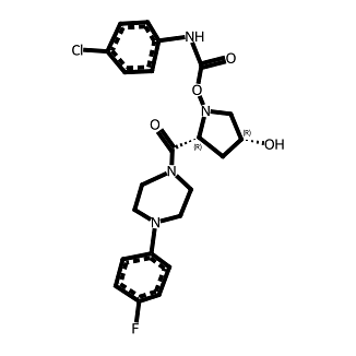 O=C(Nc1ccc(Cl)cc1)ON1C[C@H](O)C[C@@H]1C(=O)N1CCN(c2ccc(F)cc2)CC1